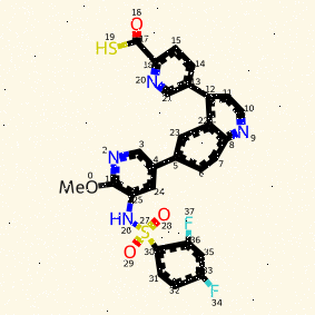 COc1ncc(-c2ccc3nccc(-c4ccc(C(=O)S)nc4)c3c2)cc1NS(=O)(=O)c1ccc(F)cc1F